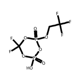 O=P1(O)OC(F)(F)OP(=O)(OCC(F)(F)F)O1